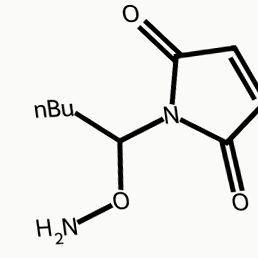 CCCCC(ON)N1C(=O)C=CC1=O